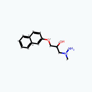 CN(N)CC(O)COc1ccc2ccccc2c1